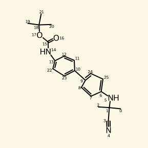 CC(C)(C#N)Nc1ccc(-c2ccc(NC(=O)OC(C)(C)C)cc2)cc1